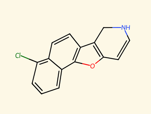 Clc1cccc2c1ccc1c3c(oc12)C=CNC3